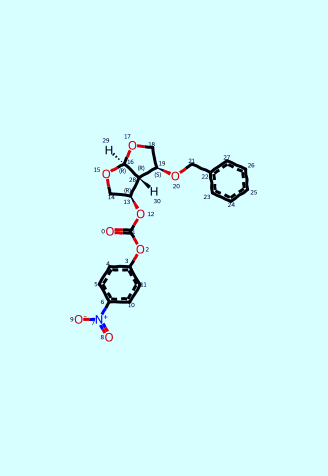 O=C(Oc1ccc([N+](=O)[O-])cc1)O[C@H]1CO[C@H]2OC[C@@H](OCc3ccccc3)[C@@H]21